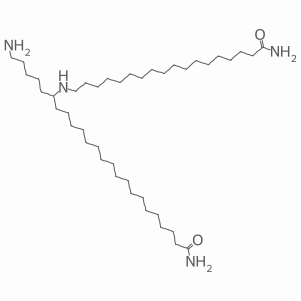 NCCCCCC(CCCCCCCCCCCCCCCCCC(N)=O)NCCCCCCCCCCCCCCCCCC(N)=O